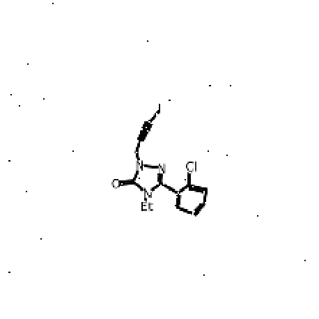 CCn1c(-c2ccccc2Cl)nn(CC#CI)c1=O